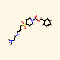 CN(C)CCNC=CCS(=O)(=O)C1CCN(C(=O)OCc2ccccc2)CC1